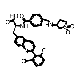 O=C(N[C@@H](Cc1ccc2nc(-c3c(Cl)cccc3Cl)ccc2c1)C(=O)O)c1ccc(CNC2CCS(=O)(=O)C2)cc1